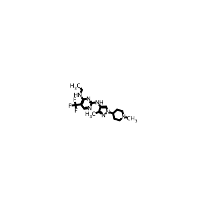 CCNc1nc(Nc2cn(C3CCN(C)CC3)nc2C)ncc1C(F)(F)F